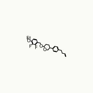 C=CCCc1ccc(C2CCC(OCc3ccc(OCC)c(F)c3F)OC2)cc1